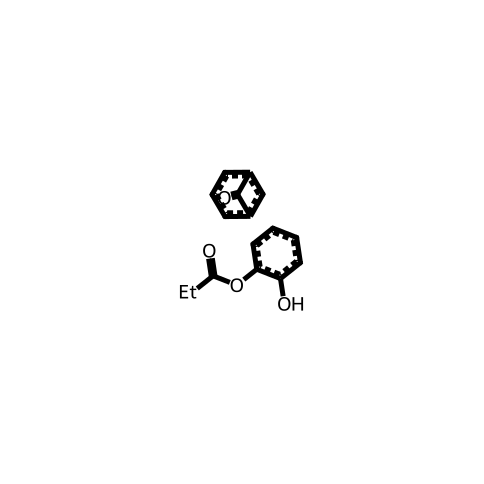 CCC(=O)Oc1ccccc1O.O=C1c2cccc1c2